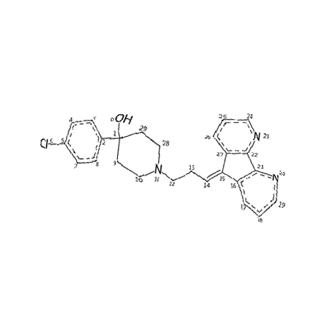 OC1(c2ccc(Cl)cc2)CCN(CCC=C2c3cccnc3-c3ncccc32)CC1